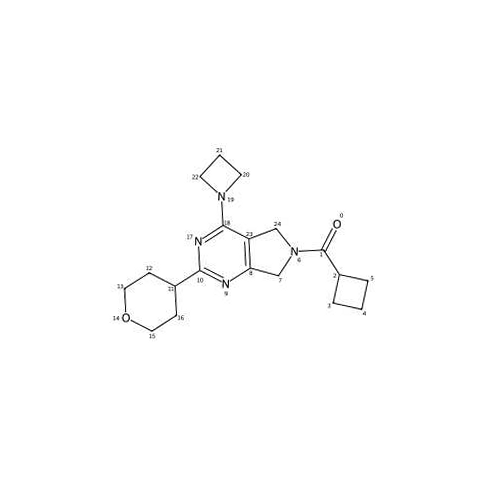 O=C(C1CCC1)N1Cc2nc(C3CCOCC3)nc(N3CCC3)c2C1